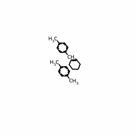 C1=CCCCC1.Cc1ccc(C)cc1.Cc1ccc(C)cc1